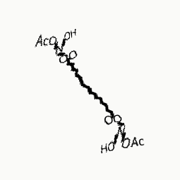 CC(=O)OCCN(CCO)CCOC(=O)CCCCCCC/C=C/CCCCCCCC(=O)OCCN(CCO)CCOC(C)=O